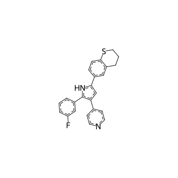 Fc1cccc(-c2[nH]c(-c3ccc4c(c3)CCCS4)cc2-c2ccncc2)c1